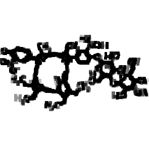 CCC1=C(CC)c2cc3[nH]c(cc4nc(cc5[nH]c(cc1n2)c(CC)c5CC)C(c1ccc(O)c([N+](=O)[O-])c1)=C4C)c(C)c3-c1ccc(OC2OC(CO)C(OC3OC(CO)C(O)[C@H](O)[C@H]3O)[C@H](O)[C@H]2O)c(N(O)O)c1